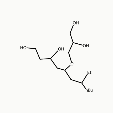 CCCCC(CC)CC(CC(O)CCO)OCC(O)CO